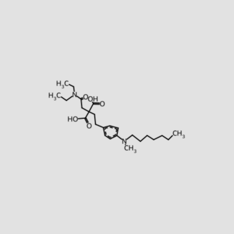 CCCCCCCN(C)c1ccc(CCC(CC(=O)N(CC)CC)(C(=O)O)C(=O)O)cc1